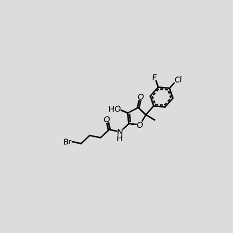 CC1(c2ccc(Cl)c(F)c2)OC(NC(=O)CCCBr)=C(O)C1=O